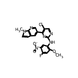 COc1cc(F)c([N+](=O)[O-])cc1Nc1ncc(Cl)c(-c2cnc3c(ccn3C)c2)n1